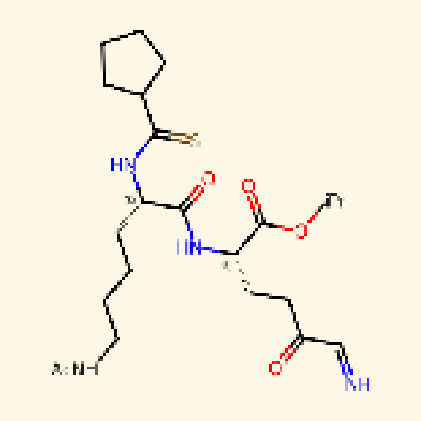 CC(=O)NCCCC[C@H](NC(=S)C1CCCC1)C(=O)N[C@@H](CCC(=O)C=N)C(=O)OC(C)C